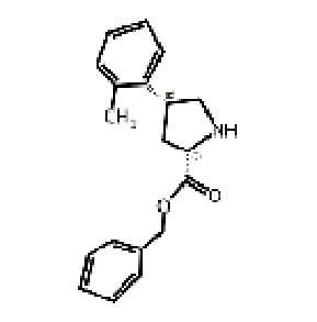 Cc1ccccc1[C@@H]1CN[C@H](C(=O)OCc2ccccc2)C1